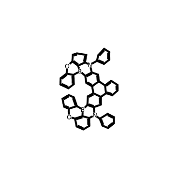 c1ccc(N2c3cc4c5ccccc5c5cc6c(cc5c4cc3B3c4ccccc4Oc4cccc2c43)B2c3ccccc3Oc3cccc(c32)N6c2ccccc2)cc1